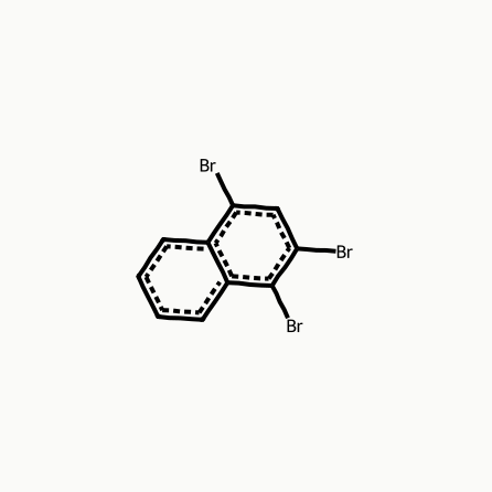 Brc1cc(Br)c2ccccc2c1Br